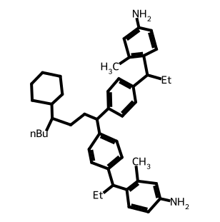 CCCCC(CCC(c1ccc(C(CC)c2ccc(N)cc2C)cc1)c1ccc(C(CC)c2ccc(N)cc2C)cc1)C1CCCCC1